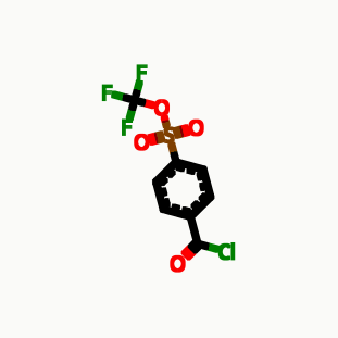 O=C(Cl)c1ccc(S(=O)(=O)OC(F)(F)F)cc1